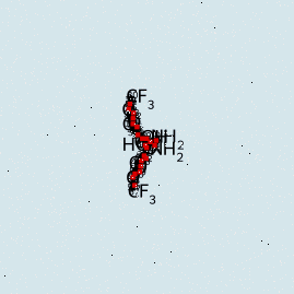 Nc1cc(N)cc(C(C(O)C(=O)/C=C/c2ccc(C(=O)Oc3ccc(OCCCCC(F)(F)F)cc3)cc2)C(O)C(=O)/C=C/c2ccc(C(=O)Oc3ccc(OCCCCC(F)(F)F)cc3)cc2)c1